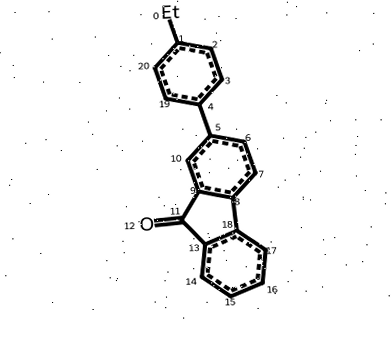 CCc1ccc(-c2ccc3c(c2)C(=O)c2ccccc2-3)cc1